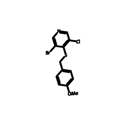 COc1ccc(CSc2c(Cl)cncc2Br)cc1